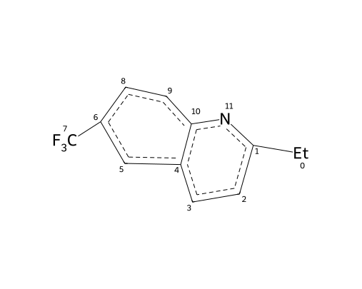 CCc1ccc2cc(C(F)(F)F)ccc2n1